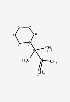 C=C(C)C(C)(C)N1CCCCC1